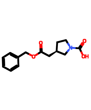 O=C(C[C@H]1CCN(C(=O)O)C1)OCc1ccccc1